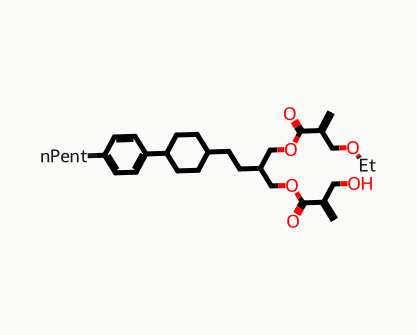 C=C(CO)C(=O)OCC(CCC1CCC(c2ccc(CCCCC)cc2)CC1)COC(=O)C(=C)COCC